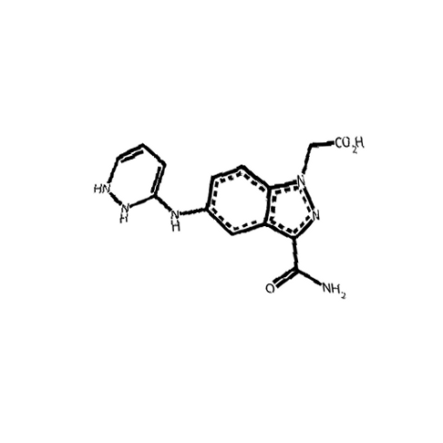 NC(=O)c1nn(CC(=O)O)c2ccc(NC3=CC=CNN3)cc12